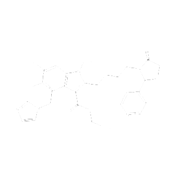 CCOC(=O)c1c(CSCCN2C(=O)CSC2c2ccncc2)n(C)c2cc(Br)c(O)c(Cn3ccnc3)c12